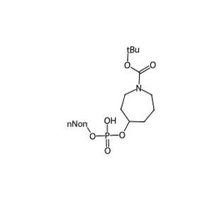 CCCCCCCCCOP(=O)(O)OC1CCCN(C(=O)OC(C)(C)C)CC1